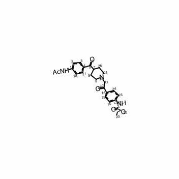 CC(=O)Nc1ccc(C(=O)C2CCN(CC(=O)c3ccc(NS(C)(=O)=O)cc3)CC2)cc1